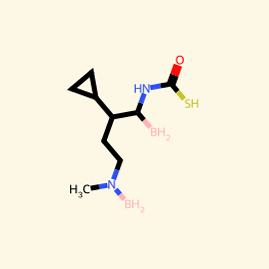 BC(NC(=O)S)C(CCN(B)C)C1CC1